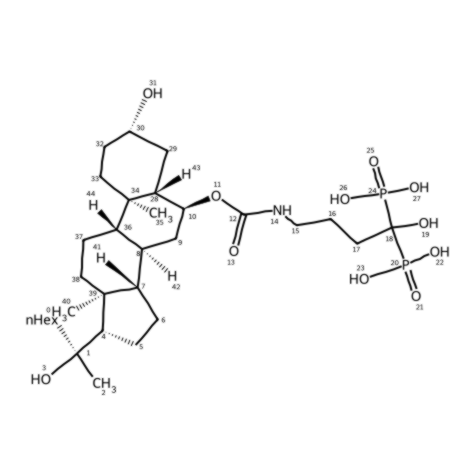 CCCCCC[C@](C)(O)[C@H]1CC[C@H]2[C@@H]3C[C@H](OC(=O)NCCCC(O)(P(=O)(O)O)P(=O)(O)O)[C@H]4C[C@@H](O)CC[C@]4(C)[C@H]3CC[C@@]21C